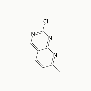 Cc1ccc2cnc(Cl)nc2n1